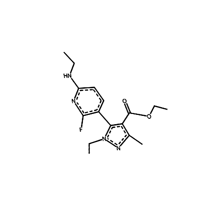 CCNc1ccc(-c2c(C(=O)OCC)c(C)nn2CC)c(F)n1